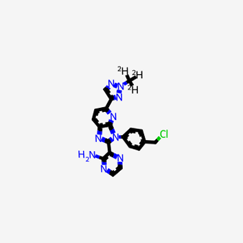 [2H]C([2H])([2H])n1ncc(-c2ccc3nc(-c4nccnc4N)n(-c4ccc(CCl)cc4)c3n2)n1